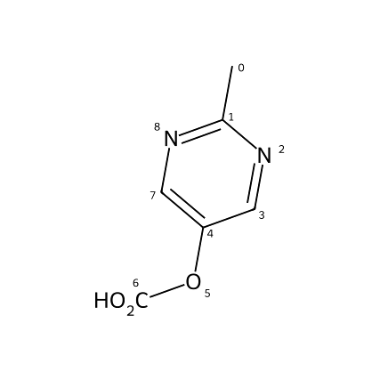 Cc1ncc(OC(=O)O)cn1